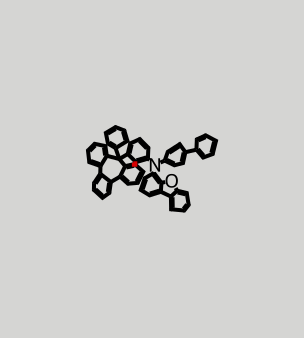 c1ccc(-c2ccc(N(c3cccc(C4(c5ccccc5)c5ccccc5-c5ccccc5-c5ccccc54)c3)c3cccc4c3oc3ccccc34)cc2)cc1